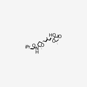 CC(/C=C/[C@H]1O[C@@H](C)C[C@@]2(CO2)[C@@H]1O)=C\C[C@H]1CC[C@@H](NC(=O)/C=C\C(C)C)[C@@H](C)O1